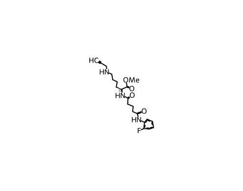 C#CCNCCCC[C@H](NC(=O)CCCC(=O)Nc1ccccc1F)C(=O)OC